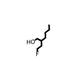 CCCCC(CO)CCF